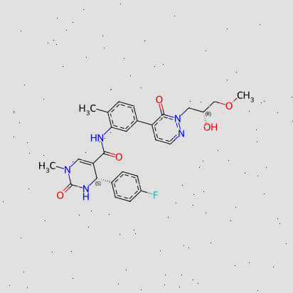 COC[C@H](O)Cn1nccc(-c2ccc(C)c(NC(=O)C3=CN(C)C(=O)N[C@H]3c3ccc(F)cc3)c2)c1=O